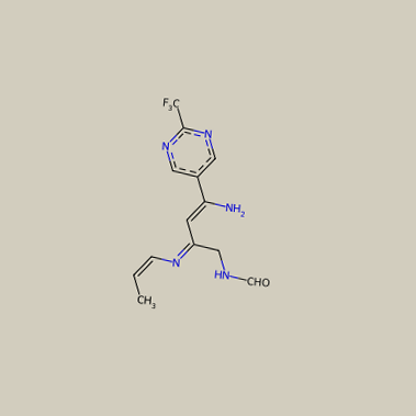 C\C=C/N=C(\C=C(/N)c1cnc(C(F)(F)F)nc1)CNC=O